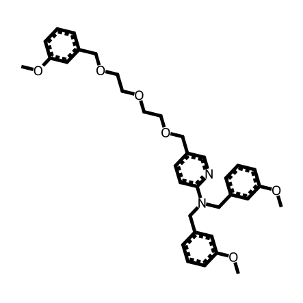 COc1cccc(COCCOCCOCc2ccc(N(Cc3cccc(OC)c3)Cc3cccc(OC)c3)nc2)c1